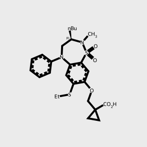 CCCC[C@@H]1CN(c2ccccc2)c2cc(SCC)c(OCC3(C(=O)O)CC3)cc2S(=O)(=O)N1C